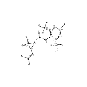 CC(C)=CC1C(C(=O)Oc2c(C(C)(C)C)cc(C)cc2C(C)(C)C)C1(C)C